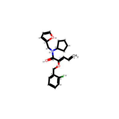 C=C/C=C(\OCc1ccccc1F)C(=O)N(Cc1ccco1)C1CCCC1